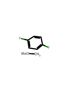 COC.Fc1ccc(F)cc1